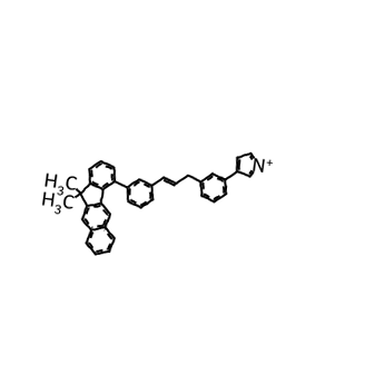 CC1(C)c2cc3ccccc3cc2-c2c(-c3cccc(/C=C/Cc4cccc(C5=CC=[N+]=C5)c4)c3)cccc21